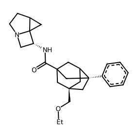 CCOC[C@]12CC3CC(C(=O)N[C@@H]4CN5CCC6CC645)(C1)C[C@]3(c1ccccc1)C2